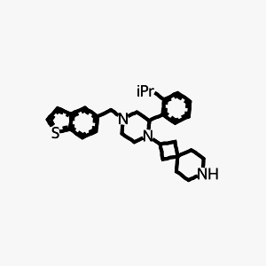 CC(C)c1ccccc1C1CN(Cc2ccc3sccc3c2)CCN1C1CC2(CCNCC2)C1